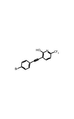 Oc1nc(C(F)(F)F)ccc1C#Cc1ccc(Br)cc1